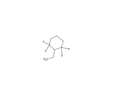 CCC1C(F)(F)CCCC1(F)F